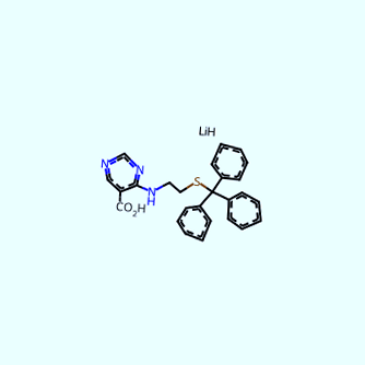 O=C(O)c1cncnc1NCCSC(c1ccccc1)(c1ccccc1)c1ccccc1.[LiH]